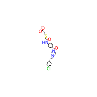 COC(=O)CCSCC(=O)Nc1ccc(C(=O)N2CCN(CCc3ccc(Cl)cc3)CC2)cc1